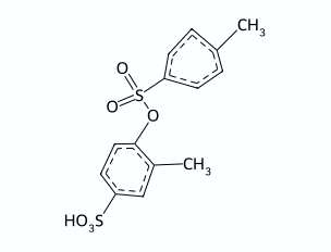 Cc1ccc(S(=O)(=O)Oc2ccc(S(=O)(=O)O)cc2C)cc1